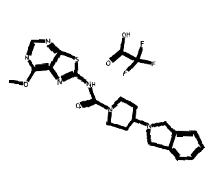 COc1ncnc2sc(NC(=O)N3CCC(N4Cc5ccccc5C4)CC3)nc12.O=C(O)C(F)(F)F